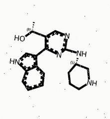 C[C@@H](O)c1cnc(N[C@H]2CCCNC2)nc1-c1c[nH]c2ccccc12